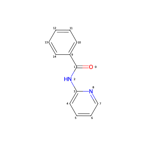 O=C(Nc1ccccn1)c1ccccc1